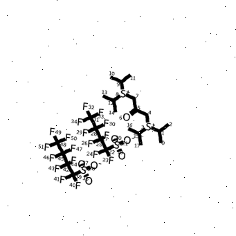 CC(C)[S+](CC(=O)C[S+](C(C)C)C(C)C)C(C)C.O=S(=O)([O-])C(F)(F)C(F)(F)C(F)(F)C(F)(F)F.O=S(=O)([O-])C(F)(F)C(F)(F)C(F)(F)C(F)(F)F